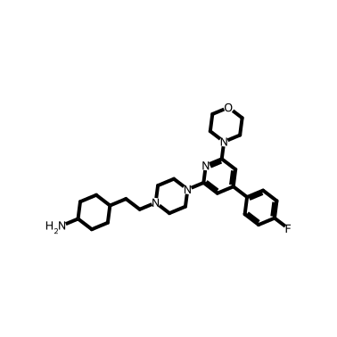 NC1CCC(CCN2CCN(c3cc(-c4ccc(F)cc4)cc(N4CCOCC4)n3)CC2)CC1